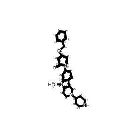 Cn1c2c(c3ccc(-n4ccc(OCc5ccccc5)cc4=O)cc31)CN(C1CCNCC1)CC2